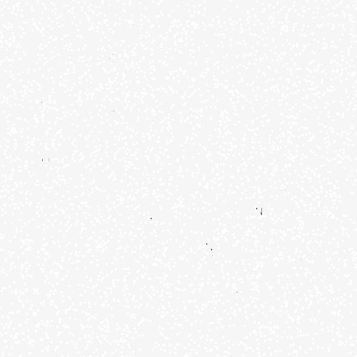 COc1ccc2occ(CCN3CCN(c4cccc5cccnc45)CC3)c2c1